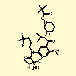 CNc1cc2c(cc1C(=O)N(C(C)C)[C@@H]1CCCN(OC(=O)C(C)(C)C)C1)N(CCCC(F)(F)F)C(=O)C(NC)(NC)O2